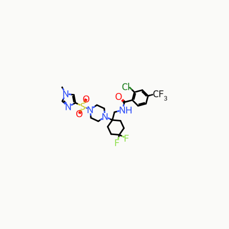 Cn1cnc(S(=O)(=O)N2CCN(C3(CNC(=O)c4ccc(C(F)(F)F)cc4Cl)CCC(F)(F)CC3)CC2)c1